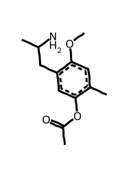 COc1cc(C)c(OC(C)=O)cc1CC(C)N